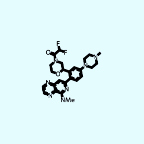 CNc1nc(-c2ccc(N3CCN(C)CC3)cc2C2CN(C(=O)C(F)F)CCO2)cc2nccnc12